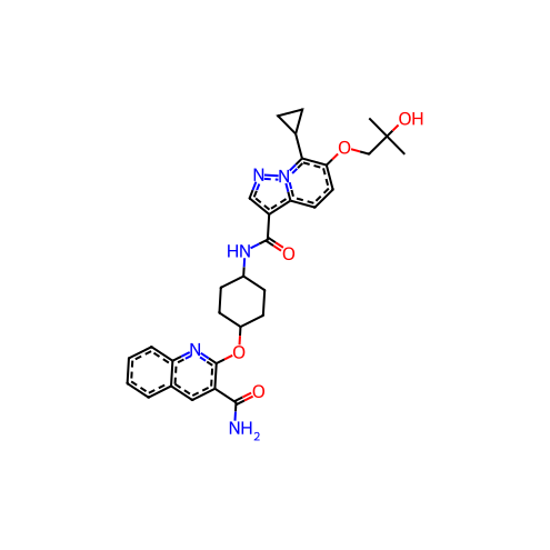 CC(C)(O)COc1ccc2c(C(=O)NC3CCC(Oc4nc5ccccc5cc4C(N)=O)CC3)cnn2c1C1CC1